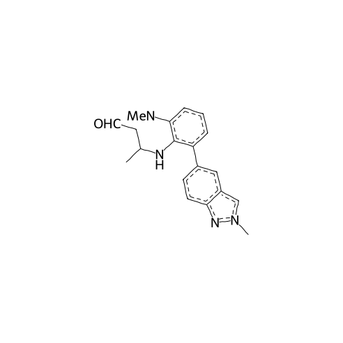 CNc1cccc(-c2ccc3nn(C)cc3c2)c1NC(C)CC=O